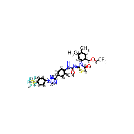 Cc1cc(COCC(F)(F)F)c(N2C(=O)CSC2=NC(=O)Nc2ccc(-c3ncn(-c4ccc(S(F)(F)(F)(F)F)cc4)n3)cc2C#N)cc1C